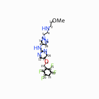 COCCNCCn1cc(Nc2ncc(OCc3c(F)c(F)cc(F)c3F)cn2)cn1